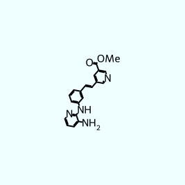 COC(=O)c1cncc(/C=C/c2cccc(Nc3ncccc3N)c2)c1